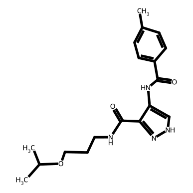 Cc1ccc(C(=O)Nc2c[nH]nc2C(=O)NCCCOC(C)C)cc1